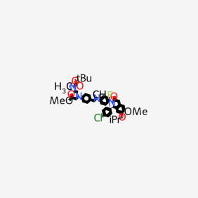 COC(=O)CN(CCN(C)C(=O)OC(C)(C)C)C1CCC(CN(C)c2ccc(N3C(=O)Cc4cc(OC)c(OC(C)C)cc4[C@@H]3c3ccc(Cl)cc3)c(F)c2)CC1